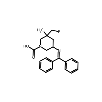 CC1(CF)CC(N=C(c2ccccc2)c2ccccc2)CN(C(=O)O)C1